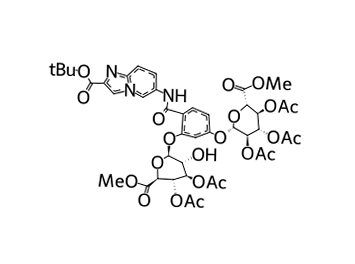 COC(=O)[C@H]1O[C@@H](Oc2ccc(C(=O)Nc3ccc4nc(C(=O)OC(C)(C)C)cn4c3)c(O[C@@H]3O[C@H](C(=O)OC)[C@@H](OC(C)=O)[C@H](OC(C)=O)[C@H]3O)c2)[C@H](OC(C)=O)[C@@H](OC(C)=O)[C@@H]1OC(C)=O